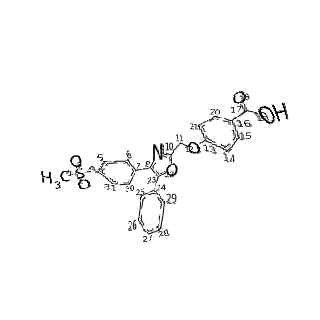 CS(=O)(=O)c1ccc(-c2nc(COc3ccc(C(=O)O)cc3)oc2-c2ccccc2)cc1